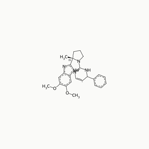 COc1cc2nc([C@]3(C)CCCN3C3=NC=[C]C(c4ccccc4)N3)[nH]c2cc1OC